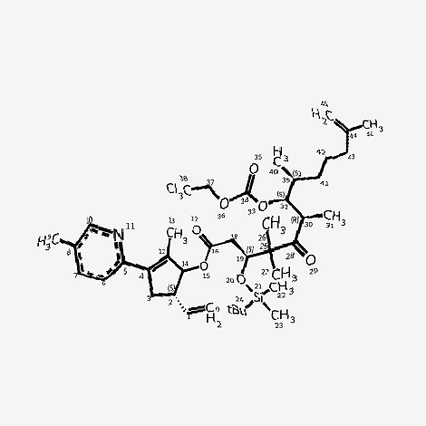 C=C[C@@H]1CC(c2ccc(C)cn2)=C(C)C1OC(=O)C[C@H](O[Si](C)(C)C(C)(C)C)C(C)(C)C(=O)[C@H](C)[C@@H](OC(=O)OCC(Cl)(Cl)Cl)[C@@H](C)CCCC(=C)C